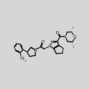 C[C@@H]1CN(C(=O)c2nn(CC(=O)N3CCC(c4ccccc4C(F)(F)F)C3)c3c2CCC3)C[C@H](C)O1